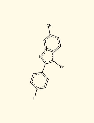 N#Cc1ccc2c(Br)c(-c3ccc(F)cc3)nn2c1